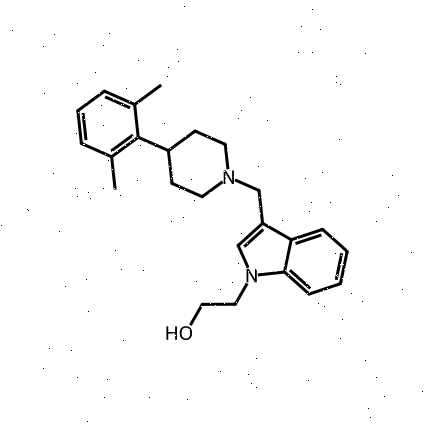 Cc1cccc(C)c1C1CCN(Cc2cn(CCO)c3ccccc23)CC1